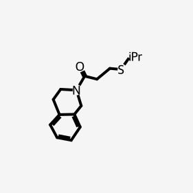 CC(C)SCCC(=O)N1CCc2ccccc2C1